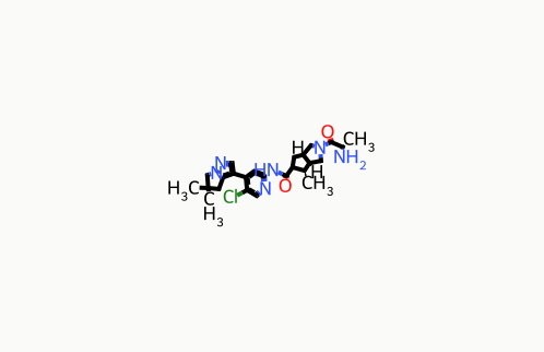 C[C@H](N)C(=O)N1C[C@H]2CC(C(=O)Nc3cc(-c4cnn5c4CC(C)(C)C5)c(Cl)cn3)[C@@H](C)[C@H]2C1